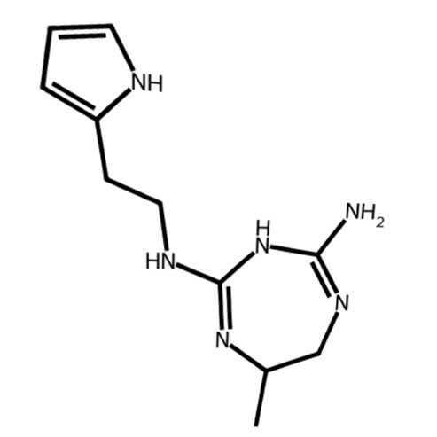 CC1CN=C(N)NC(NCCc2ccc[nH]2)=N1